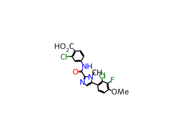 COc1ccc(-c2cnc(C(=O)Nc3ccc(C(=O)O)c(Cl)c3)n2C)c(Cl)c1F